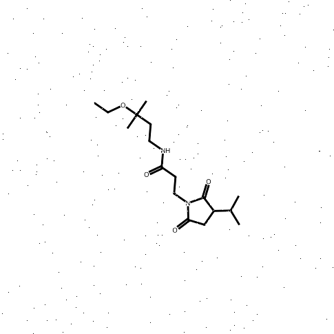 CCOC(C)(C)CCNC(=O)CCN1C(=O)CC(C(C)C)C1=O